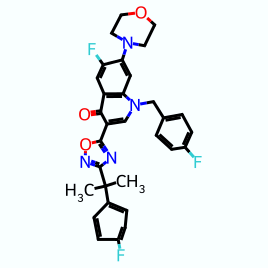 CC(C)(c1ccc(F)cc1)c1noc(-c2cn(Cc3ccc(F)cc3)c3cc(N4CCOCC4)c(F)cc3c2=O)n1